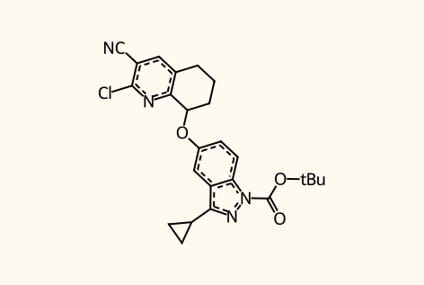 CC(C)(C)OC(=O)n1nc(C2CC2)c2cc(OC3CCCc4cc(C#N)c(Cl)nc43)ccc21